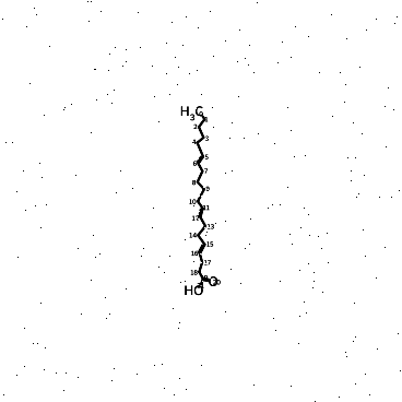 CCCCCC=CCCCCC=CCCC=CCCC(=O)O